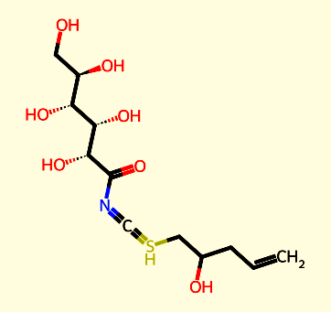 C=CCC(O)C[SH]=C=NC(=O)[C@H](O)[C@@H](O)[C@H](O)[C@H](O)CO